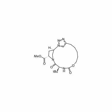 COC(=O)[C@@H]1C[C@@H]2CN1C(=O)[C@H](C(C)(C)C)NC(=O)OCCCCCc1cn2nn1